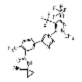 Cc1ccc(-c2cn(-c3c(C(F)(F)F)c(S(F)(F)(F)(F)F)nn3C)nn2)cc1C(=O)NC1(C#N)CC1